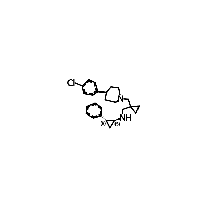 Clc1ccc(C2CCN(CC3(CN[C@H]4C[C@@H]4c4ccccc4)CC3)CC2)cc1